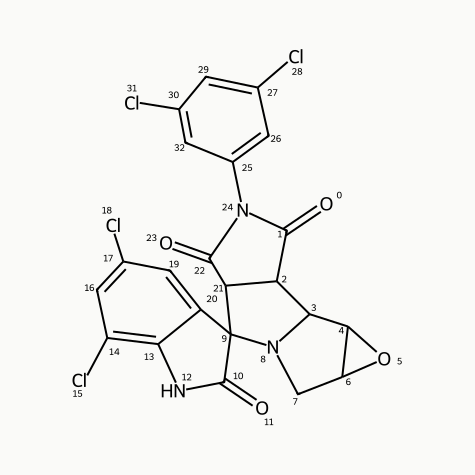 O=C1C2C3C4OC4CN3C3(C(=O)Nc4c(Cl)cc(Cl)cc43)C2C(=O)N1c1cc(Cl)cc(Cl)c1